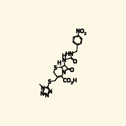 Cn1nnnc1SCC1=C(C(=O)O)N2C(=O)C(NC(=O)NCc3ccc([N+](=O)[O-])cc3)[C@@H]2SC1